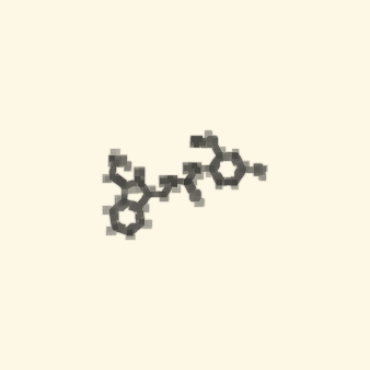 COc1cc(Br)ccc1NC(=O)NCC1N/C(=C\N)c2ccccc21